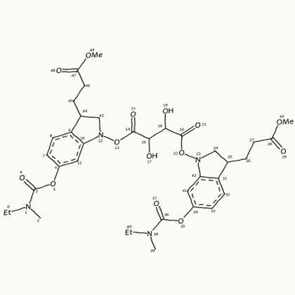 CCN(C)C(=O)Oc1ccc2c(c1)N(OC(=O)C(O)C(O)C(=O)ON1CC(CCC(=O)OC)c3ccc(OC(=O)N(C)CC)cc31)CC2CCC(=O)OC